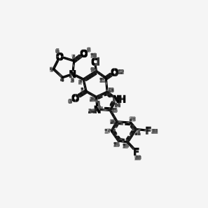 O=C1C(N2CCOC2=O)=C(Cl)C(=O)c2[nH]c(-c3ccc(F)c(F)c3)nc21